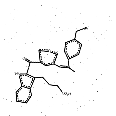 CC(=Cc1cccc(C(=O)c2[nH]c3ccccc3c2CCCC(=O)O)c1)c1ccc(CC(C)C)cc1